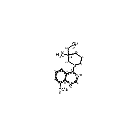 COc1cccc2c(N3CCCC(C)(CO)C3)ncnc12